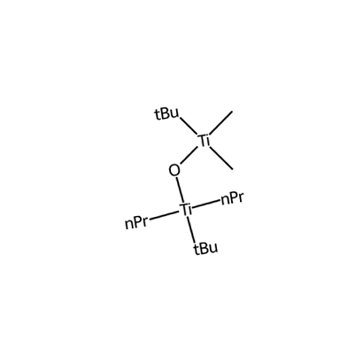 CC[CH2][Ti]([CH2]CC)([O][Ti]([CH3])([CH3])[C](C)(C)C)[C](C)(C)C